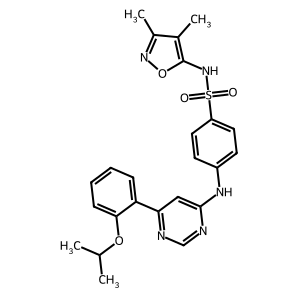 Cc1noc(NS(=O)(=O)c2ccc(Nc3cc(-c4ccccc4OC(C)C)ncn3)cc2)c1C